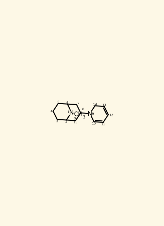 CN1C2CCCC1CC(N1C=CC=CC1)C2